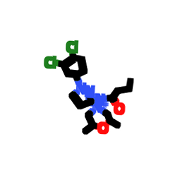 CCCC(=O)N[N+]1(c2ccn(-c3ccc(Cl)c(Cl)c3)n2)CC(C)OC(C)C1